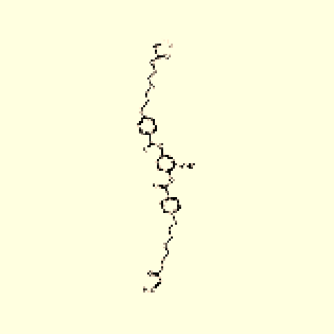 C=CC(=O)OCCOCCOc1ccc(C(=O)Oc2ccc(OC(=O)c3ccc(OCCOCCOC(=O)C=C)cc3)c(C=O)c2)cc1